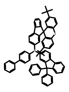 CC(C)(C)c1ccc2c(c1)C1(c3cc(C(C)(C)C)ccc3S2)c2ccccc2-c2ccc(N(c3ccc(-c4ccccc4)cc3)c3ccc4c(c3)C(c3ccccc3)(c3ccccc3)c3ccccc3-4)cc21